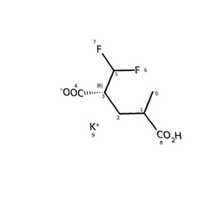 CC(C[C@H](C(=O)[O-])C(F)F)C(=O)O.[K+]